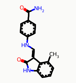 Cc1cccc2c1C(=CNc1ccc(C(N)=O)cc1)C(=O)N2